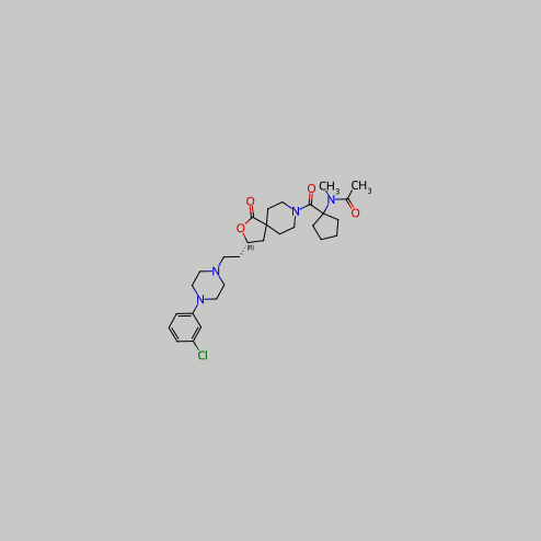 CC(=O)N(C)C1(C(=O)N2CCC3(CC2)C[C@H](CCN2CCN(c4cccc(Cl)c4)CC2)OC3=O)CCCC1